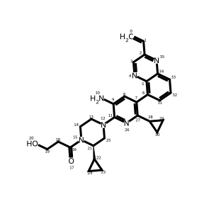 C=Cc1cnc2c(-c3cc(N)c(N4CCN(C(=O)CCO)[C@H](C5CC5)C4)nc3C3CC3)cccc2n1